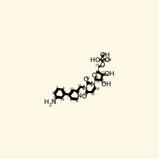 Nc1cccc(-c2ccnc(Cn3c(=O)ccn([C@@H]4O[C@H](COP(=O)(O)O)C(O)C4O)c3=O)c2)c1